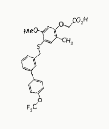 COc1cc(OCC(=O)O)c(C)cc1SCc1cccc(-c2ccc(OC(F)(F)F)cc2)c1